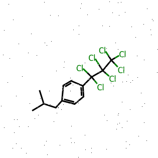 CC(C)[CH]c1ccc(C(Cl)(Cl)C(Cl)(Cl)C(Cl)(Cl)Cl)cc1